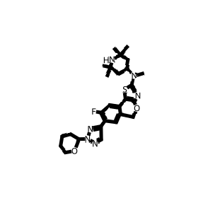 CN(c1nc2c(s1)-c1cc(F)c(-c3cnn(C4CCCCO4)n3)cc1CO2)C1CC(C)(C)NC(C)(C)C1